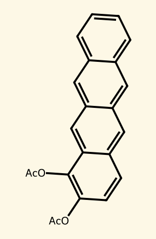 CC(=O)Oc1ccc2cc3cc4ccccc4cc3cc2c1OC(C)=O